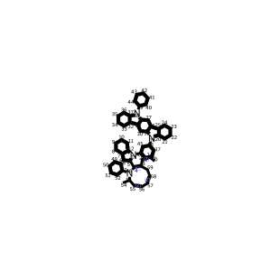 C/C=C\C1=C(/c2cc3ccccc3n2-c2cccc(-n3c4ccccc4c4cc5c(cc43)c3ccccc3n5-c3ccccc3)c2)N(c2ccccc2)C(C)/C=C\C=C/C1